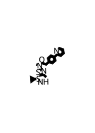 Cc1nc(N(C)C(=O)Cc2ccc(-c3ccccn3)cc2)sc1[S@](=N)C1CC1